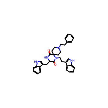 O=C1C(Cc2c[nH]c3ccccc23)NC(=O)C2(CCN(CCc3ccccc3)CC2)N1CCc1c[nH]c2ccccc12